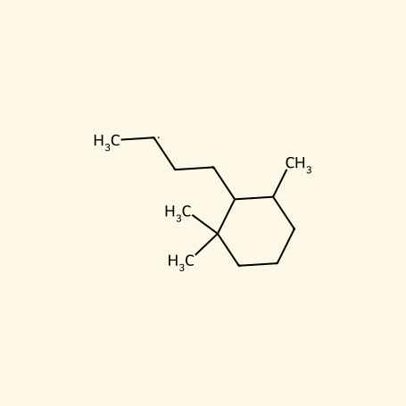 C[CH]CCC1C(C)CCCC1(C)C